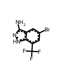 Nc1n[nH]c2c(C(F)(F)F)cc(Br)cc12